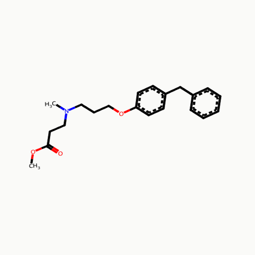 COC(=O)CCN(C)CCCOc1ccc(Cc2ccccc2)cc1